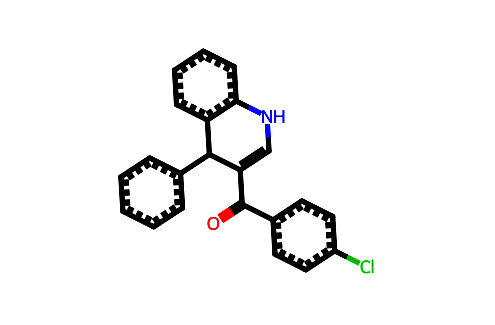 O=C(C1=CNc2ccccc2C1c1ccccc1)c1ccc(Cl)cc1